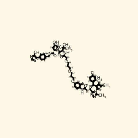 Cc1ncsc1-c1ccc(CNC(=O)[C@@H]2C[C@@H](O)CN2C(=O)[C@@H](NC(=O)COCCCOCCCOc2ccc(NC(=O)C[C@@H]3N=C(c4ccc(Cl)cc4)c4c(sc(C)c4C)-n4c(C)nnc43)c(F)c2)C(C)(C)C)cc1